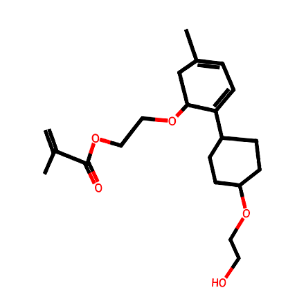 C=C(C)C(=O)OCCOC1CC(C)=CC=C1C1CCC(OCCO)CC1